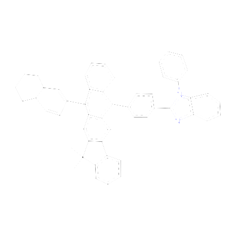 CC1(C)c2ccccc2-c2cc3c(-c4ccc(-c5nc6ccccc6n5-c5ccccc5)cc4)c4ccccc4c(C4=CC5CCCCC5C=C4)c3cc21